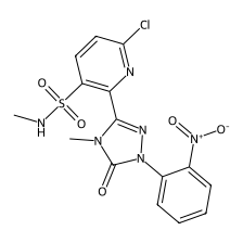 CNS(=O)(=O)c1ccc(Cl)nc1-c1nn(-c2ccccc2[N+](=O)[O-])c(=O)n1C